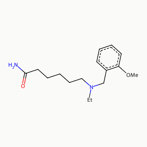 CCN(CCCCCC(N)=O)Cc1ccccc1OC